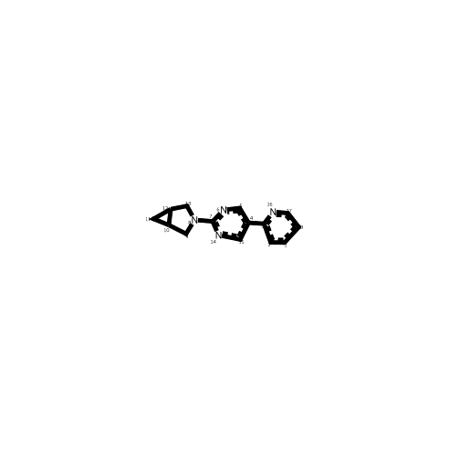 c1ccc(-c2cnc(N3CC4CC4C3)nc2)nc1